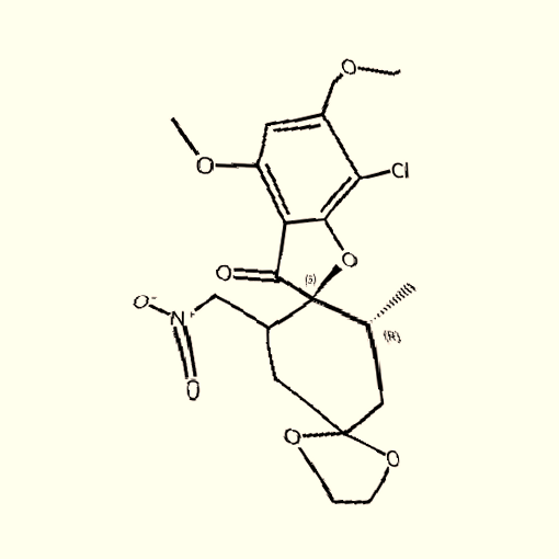 COc1cc(OC)c2c(c1Cl)O[C@]1(C2=O)C(C[N+](=O)[O-])CC2(C[C@H]1C)OCCO2